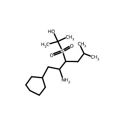 CC(C)CC(C(N)CC1CCCCC1)S(=O)(=O)C(C)(C)O